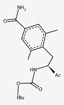 CC(=O)[C@H](Cc1c(C)cc(C(N)=O)cc1C)NC(=O)OC(C)(C)C